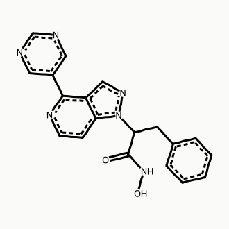 O=C(NO)C(Cc1ccccc1)n1ncc2c(-c3cncnc3)nccc21